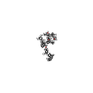 COc1cc(OC)nc(NC(=O)NS(=O)(=O)c2ncccc2C(=O)N(C)C)n1.COc1nc(C)nc(NC(=O)NS(=O)(=O)c2ccccc2CCC(F)(F)F)n1.CS(=O)(=O)NC(=O)c1cc(Oc2ccc(C(F)(F)F)cc2Cl)ccc1[N+](=O)[O-].O=C(O)CNCP(=O)(O)O